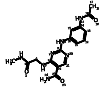 CNC(=O)CNc1nc(Nc2cccc(NC(C)=O)c2)ncc1C(N)=O